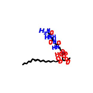 CCCCCCCCCCCCCCCC(=O)OC(COC(C)=O)COP(=O)(O)OCCNC(=O)CNC(=O)CNC(=O)CN